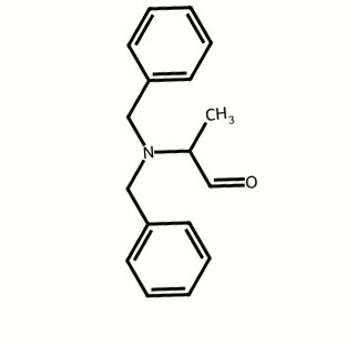 CC(C=O)N(Cc1ccccc1)Cc1ccccc1